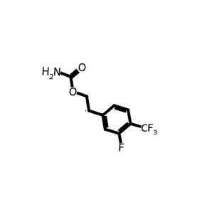 NC(=O)OC[CH]c1ccc(C(F)(F)F)c(F)c1